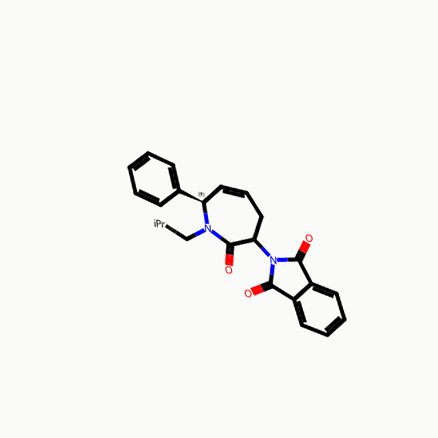 CC(C)CN1C(=O)C(N2C(=O)c3ccccc3C2=O)CC=C[C@@H]1c1ccccc1